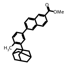 COC(=O)c1ccc2cc(-c3ccc(C)c(C45CC6CC(CC(C6)C4)C5)c3)ccc2c1